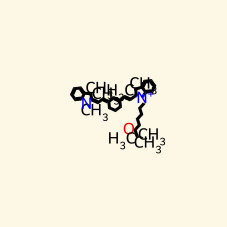 CN1/C(=C/C=C2C=C(/C=C/C3=[N+](CCCCCC(=O)C(C)(C)C)c4ccccc4C3(C)C)CCC/2)C(C)(C)c2ccccc21